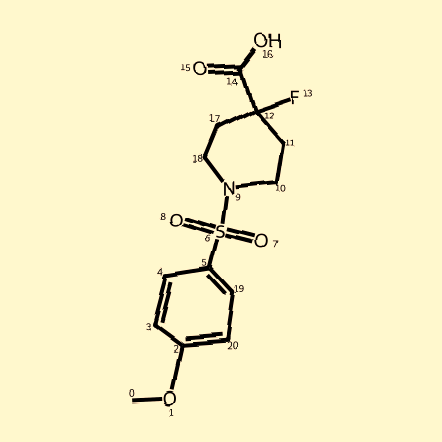 COc1ccc(S(=O)(=O)N2CCC(F)(C(=O)O)CC2)cc1